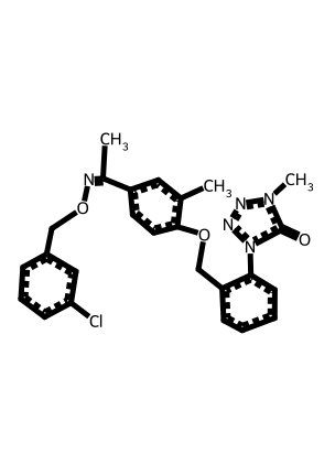 CC(=NOCc1cccc(Cl)c1)c1ccc(OCc2ccccc2-n2nnn(C)c2=O)c(C)c1